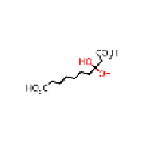 O=C(O)CCCCCCC(O)(O)CC(=O)O